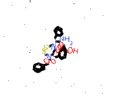 NC(=O)[C@@H](Cc1ccccc1)N1CSSCN(C(=O)OCc2ccccc2)[C@@H](Cc2ccc(O)cc2)C1=O